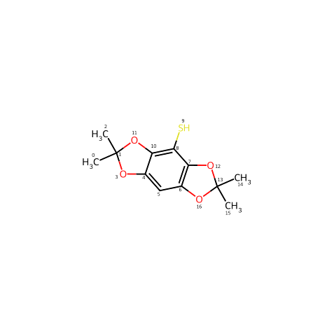 CC1(C)Oc2cc3c(c(S)c2O1)OC(C)(C)O3